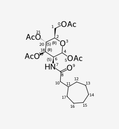 CC(=O)OC[C@H]1OC(OC(C)=O)[C@@H](NC(=O)CC2CCCCCC2)[C@@H](OC(C)=O)[C@@H]1OC(C)=O